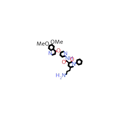 COc1cc2nccc(Oc3ccc(NC(=O)c4cc(CCCN)cn(-c5ccccc5)c4=O)nc3)c2cc1OC